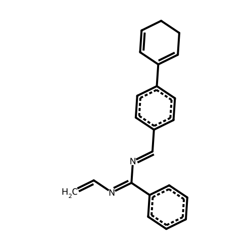 C=C/N=C(\N=C\c1ccc(C2=CCCC=C2)cc1)c1ccccc1